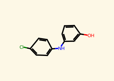 Oc1[c]c(Nc2ccc(Cl)cc2)ccc1